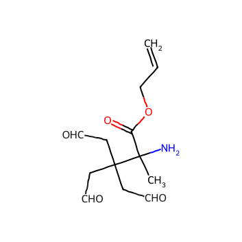 C=CCOC(=O)C(C)(N)C(CC=O)(CC=O)CC=O